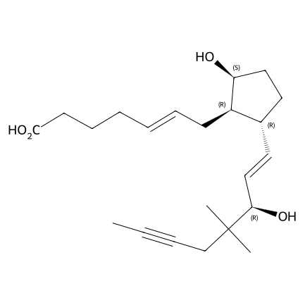 CC#CCC(C)(C)[C@H](O)C=C[C@H]1CC[C@H](O)[C@@H]1CC=CCCCC(=O)O